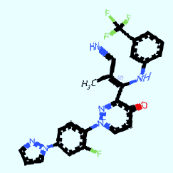 C/C(C=N)=C(/Nc1cccc(C(F)(F)F)c1)c1nn(-c2ccc(-n3cccn3)cc2F)ccc1=O